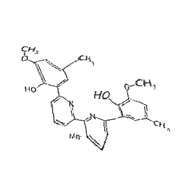 COc1cc(C)cc(-c2cccc(-c3cccc(-c4cc(C)cc(OC)c4O)n3)n2)c1O.[Mn]